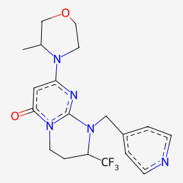 CC1COCCN1c1cc(=O)n2c(n1)N(Cc1ccncc1)C(C(F)(F)F)CC2